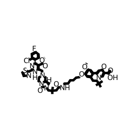 COC(=O)C1=C(CN2CCN3C(=O)N(CC(C)(C)CC(=O)NCCCCCCOc4cc5c(cc4OC)-c4cc(=O)c(C(=O)O)cn4C(C(C)(C)C)C5)C[C@@H]3C2)NC(c2nccs2)=N[C@H]1c1ccc(F)cc1Cl